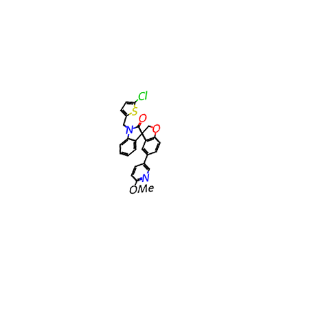 COc1ccc(-c2ccc3c(c2)C2(CO3)C(=O)N(Cc3ccc(Cl)s3)c3ccccc32)cn1